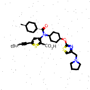 CC(C)(C)C#Cc1cc(N(C(=O)[C@H]2CC[C@H](C)CC2)C2CCC(Oc3nc(CN4CCCC4)cs3)CC2)c(C(=O)O)s1